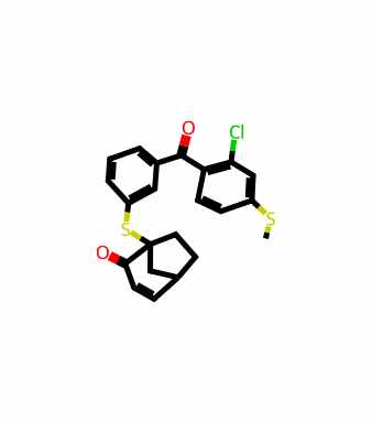 CSc1ccc(C(=O)c2cccc(SC34CCC(C=CC3=O)C4)c2)c(Cl)c1